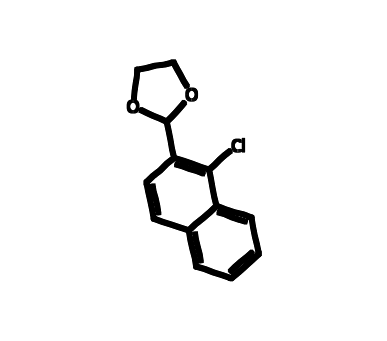 Clc1c(C2OCCO2)ccc2ccccc12